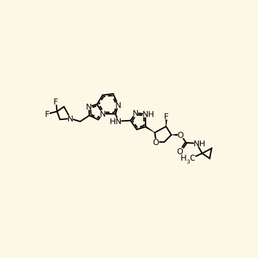 CC1(NC(=O)O[C@H]2CO[C@@H](c3cc(Nc4nccc5nc(CN6CC(F)(F)C6)cn45)n[nH]3)[C@H]2F)CC1